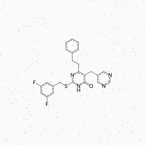 O=c1[nH]c(SCc2cc(F)cc(F)c2)nc(CCc2ccccc2)c1Cc1cncnc1